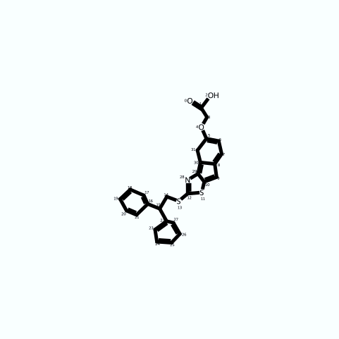 O=C(O)COC1=CC=C2C=c3sc(SCC(c4ccccc4)c4ccccc4)nc3=C2C1